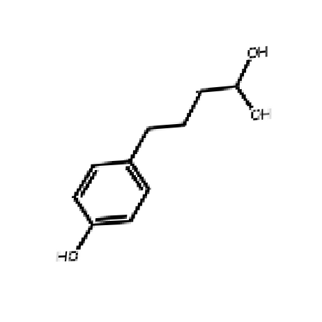 Oc1ccc(CC[CH]C(O)O)cc1